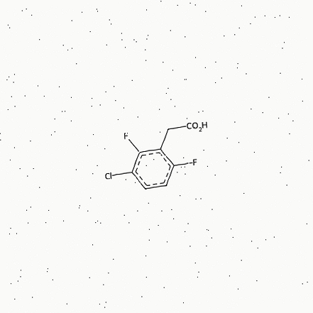 O=C(O)Cc1c(F)ccc(Cl)c1F